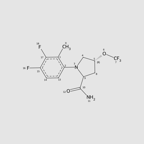 Cc1c(N2C[C@H](OC(F)(F)F)CC2C(N)=O)ccc(F)c1F